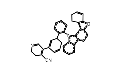 N#CC1=C(C2=CC(c3ccccc3-n3c4ccccc4c4ccc5oc6c(c5c43)CCC=C6)CC=C2)C=NCC1